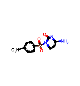 Nc1ccn(S(=O)(=O)c2ccc([N+](=O)[O-])cc2)c(=O)n1